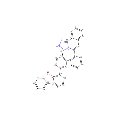 c1ccc(-c2cc3ccccc3c3nnc(-c4ccc(-c5cccc6c5oc5ccccc56)cc4)n23)cc1